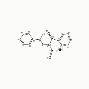 CC(Cn1c(=O)[nH]c2ccccc2c1=O)c1ccccc1